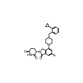 O=C1CCC(N2Cc3c(cc(F)cc3N3CCN(Cc4ccccc4C4CC4)CC3)C2=O)C(=O)N1